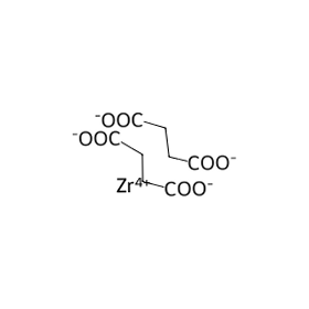 O=C([O-])CCC(=O)[O-].O=C([O-])CCC(=O)[O-].[Zr+4]